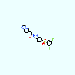 O=C(Cc1ccc2nccn2c1)NCc1ccc(S(=O)(=O)C2=CC(F)CC(F)=C2)cc1